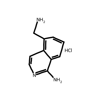 Cl.NCc1cccc2c(N)nccc12